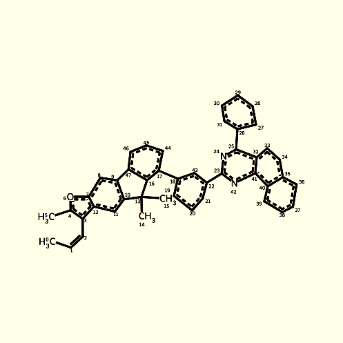 C/C=C\c1c(C)oc2cc3c(cc12)C(C)(C)c1c(-c2cccc(-c4nc(-c5ccccc5)c5ccc6ccccc6c5n4)c2)cccc1-3